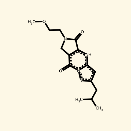 COCCN1Cc2c([nH]c3cc(CC(C)C)nn3c2=O)C1=O